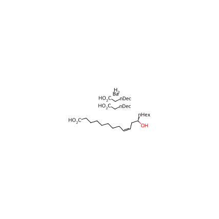 CCCCCCCCCCCC(=O)O.CCCCCCCCCCCC(=O)O.CCCCCC[C@@H](O)C/C=C\CCCCCCCC(=O)O.[BaH2]